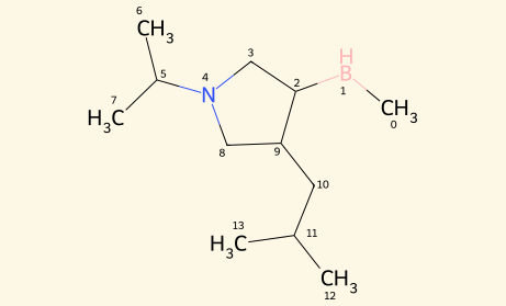 CBC1CN(C(C)C)CC1CC(C)C